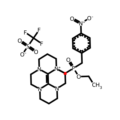 CCOP(=O)(Cc1ccc([N+](=O)[O-])cc1)C[N+]12CCCN3CCN4CCCN(CC1)C4=C32.O=S(=O)([O-])C(F)(F)F